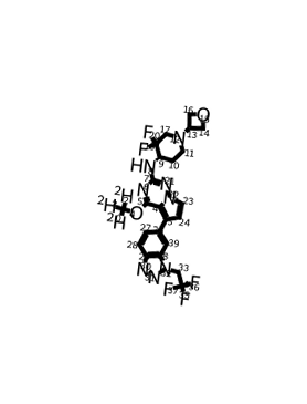 [2H]C([2H])([2H])Oc1nc(N[C@@H]2CCN(C3COC3)CC2(F)F)nn2ccc(-c3ccc4nnn(CC(F)(F)F)c4c3)c12